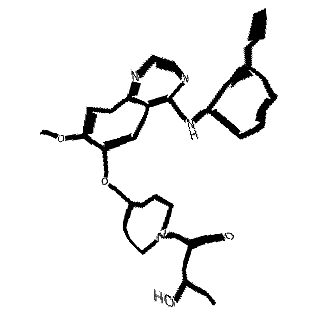 C#Cc1cccc(Nc2ncnc3cc(OC)c(OC4CCN(C(=O)C(C)O)CC4)cc23)c1